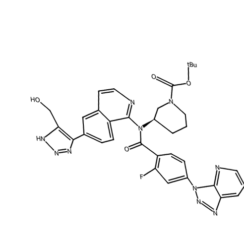 CC(C)(C)OC(=O)N1CCC[C@@H](N(C(=O)c2ccc(-n3nnc4cccnc43)cc2F)c2nccc3cc(-c4nn[nH]c4CO)ccc23)C1